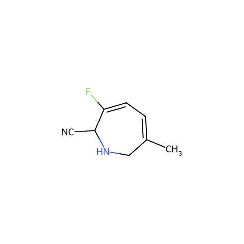 CC1=CC=C(F)C(C#N)NC1